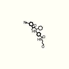 Cc1c(C(Nc2ccc(C(=O)NCCC=O)cc2)C2CCCCC2)oc2ccc(C#N)cc12